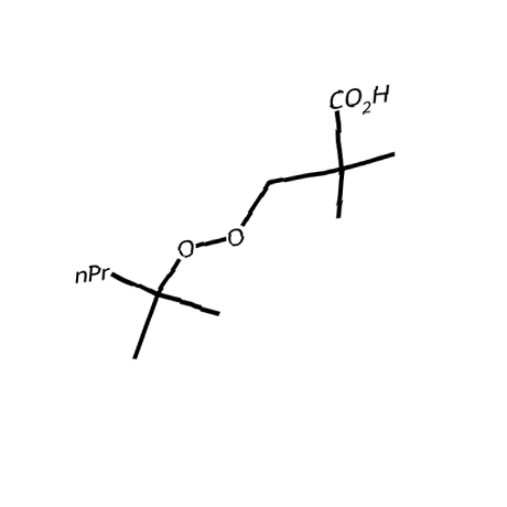 CCCC(C)(C)OOCC(C)(C)C(=O)O